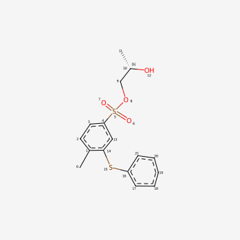 Cc1ccc(S(=O)(=O)OC[C@H](C)O)cc1Sc1ccccc1